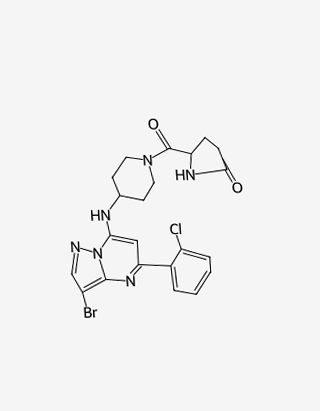 O=C1CCC(C(=O)N2CCC(Nc3cc(-c4ccccc4Cl)nc4c(Br)cnn34)CC2)N1